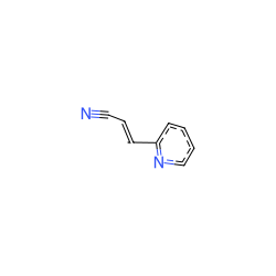 N#CC=[C]c1ccccn1